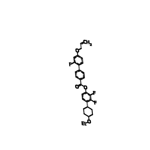 C=CCOc1ccc(-c2ccc(C(=O)Oc3ccc(C4CCC(OCC)CC4)c(F)c3F)cc2)c(F)c1